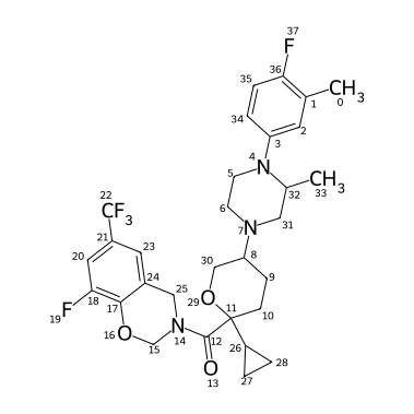 Cc1cc(N2CCN(C3CCC(C(=O)N4COc5c(F)cc(C(F)(F)F)cc5C4)(C4CC4)OC3)CC2C)ccc1F